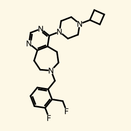 FCc1c(F)cccc1CN1CCc2ncnc(N3CCN(C4CCC4)CC3)c2CC1